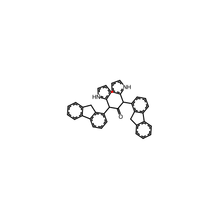 O=C(C(c1ccc[nH]1)c1cccc2c1Cc1ccccc1-2)C(c1ccc[nH]1)c1cccc2c1Cc1ccccc1-2